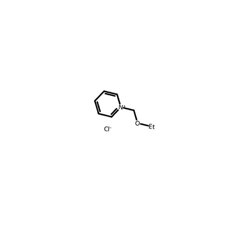 CCOC[n+]1ccccc1.[Cl-]